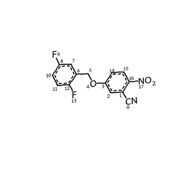 N#Cc1cc(OCc2cc(F)ccc2F)ccc1[N+](=O)[O-]